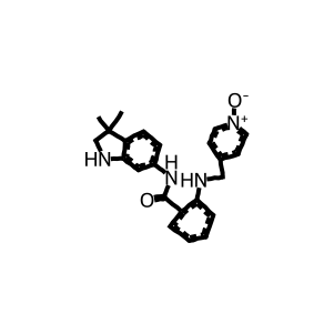 CC1(C)CNc2cc(NC(=O)c3ccccc3NCc3cc[n+]([O-])cc3)ccc21